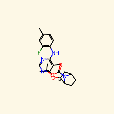 Cc1ccc(Nc2ncnc(O[C@H]3CC4CCC3N4C(=O)OC(C)C)c2C)c(F)c1